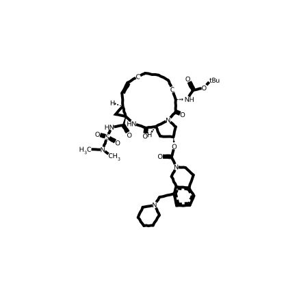 CN(C)S(=O)(=O)NC(=O)[C@@]12C[C@H]1/C=C\CCCCC[C@H](NC(=O)OC(C)(C)C)C(=O)N1C[C@H](OC(=O)N3CCc4cccc(CN5CCCCC5)c4C3)C[C@H]1C(=O)N2